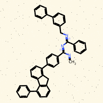 C=N/C(=N\C(=N/Cc1cccc(-c2ccccc2)c1)c1ccccc1)c1ccc(-c2cccc3c2Cc2cccc(-c4ccccc4)c2-3)cc1